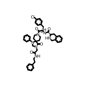 O=C(CN1CN(c2ccccc2)C2(CCN(C(=O)[C@@H](Cc3ccc(Cl)cc3)NC(=O)[C@H]3Cc4ccccc4CN3)CC2)C1=O)NCCc1ccccc1